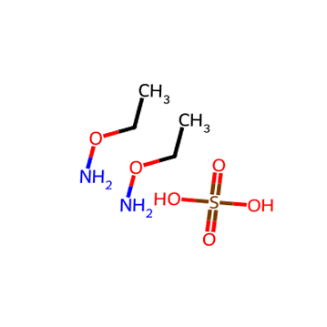 CCON.CCON.O=S(=O)(O)O